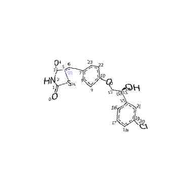 O=C1NC(=O)/C(=C/c2ccc(OC[C@@H](O)c3cccc(Cl)c3)cc2)S1